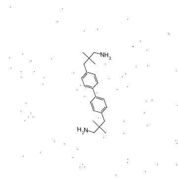 CC(C)(CN)Cc1ccc(-c2ccc(CC(C)(C)CN)cc2)cc1